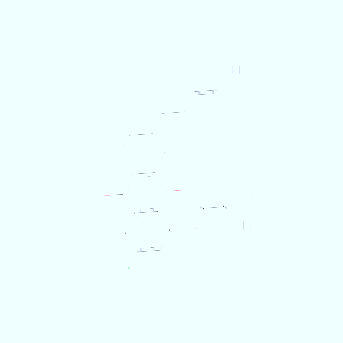 C=C(C)C(=O)Oc1c2c(c(O)c3cc(Cl)ccc13)CCC(CCC=C(C)C)C2